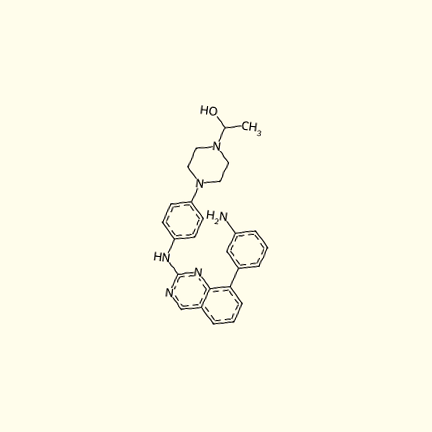 CC(O)N1CCN(c2ccc(Nc3ncc4cccc(-c5cccc(N)c5)c4n3)cc2)CC1